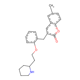 Cc1ccc2oc(=O)c(Cc3cc[c]cc3OCCC3CCCCN3)cc2c1